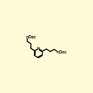 CCCCCCCCCCCCCc1cccc(CCCCCCCCCCCCC)n1